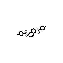 CC1CCC(C(=O)OC2=Cc3ccc(OC(=O)C4CCC(C)CC4)cc3C=CC2)CC1